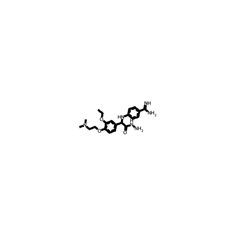 CCOc1cc(C(Nc2ccc(C(=N)N)cc2)C(=O)NN)ccc1OCCN(C)C